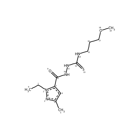 CCn1nc(C)cc1C(=O)NNC(=S)NCCCOC